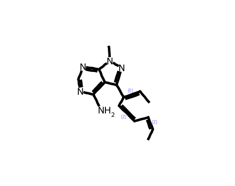 C\C=C/C=C\C(=C/C)c1nn(C)c2ncnc(N)c12